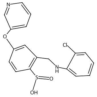 O=S(O)c1ccc(Oc2cccnc2)cc1CNc1ccccc1Cl